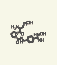 CC(C)CC(N)C(=O)N1CCC[C@H]1C(=O)NCc1ccc(C(=N)NO)cc1.Cl